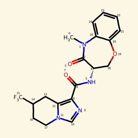 CN1C(=O)[C@@H](NC(=O)c2ncn3c2CC(C(F)(F)F)CC3)COc2ccccc21